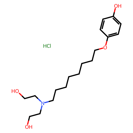 Cl.OCCN(CCO)CCCCCCCCOc1ccc(O)cc1